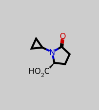 O=C(O)[C@@H]1CCC(=O)N1C1CC1